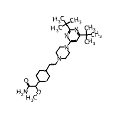 COC(C(N)=O)C1CCC(CCN2CCN(c3cc(C(C)(C)C)nc(C(C)(C)C)n3)CC2)CC1